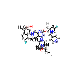 C#Cc1c(F)ccc2c1[C@@H](N1CCc3c(nc(OC[C@]4(C)C[C@@H](F)CN4Cc4ccncc4)nc3N3C[C@H]4CC(C#N)[C@@H](C3)N4C(=O)C=C)C1)C[C@@](C)(O)C2